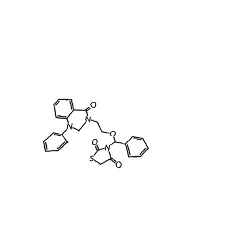 O=C1c2ccccc2N(c2ccccc2)CN1CCOC(c1ccccc1)N1C(=O)CSC1=O